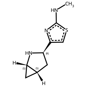 CNc1nc([C@H]2C[C@@H]3C[C@@H]3N2)cs1